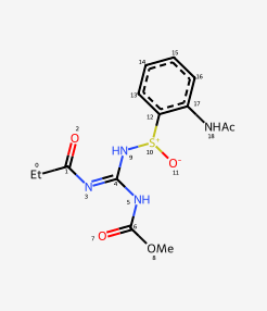 CCC(=O)N=C(NC(=O)OC)N[S+]([O-])c1ccccc1NC(C)=O